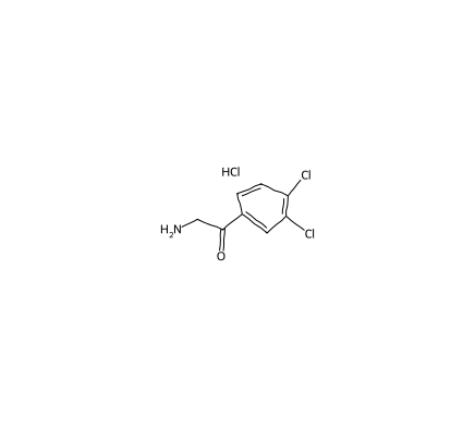 Cl.NCC(=O)c1ccc(Cl)c(Cl)c1